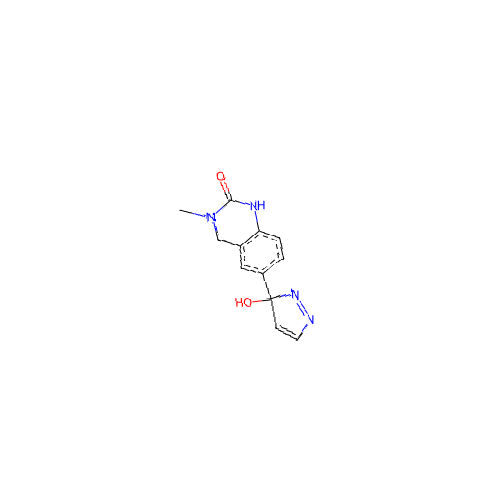 CN1Cc2cc(C3(O)C=CN=N3)ccc2NC1=O